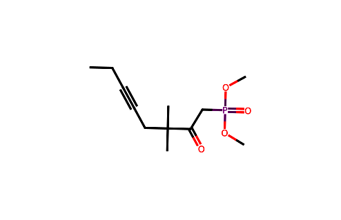 CCC#CCC(C)(C)C(=O)CP(=O)(OC)OC